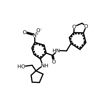 O=C(NCc1ccc2c(c1)OCO2)c1cc([N+](=O)[O-])ccc1NC1(CO)CCCC1